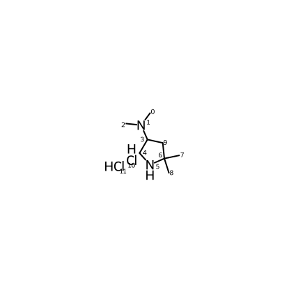 CN(C)C1CNC(C)(C)C1.Cl.Cl